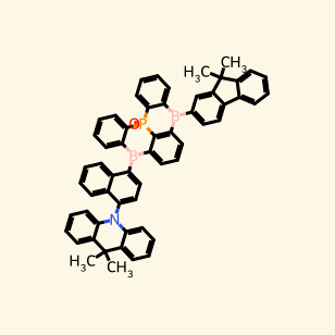 CC1(C)c2ccccc2-c2ccc(B3c4ccccc4P4(=O)c5ccccc5B(c5ccc(N6c7ccccc7C(C)(C)c7ccccc76)c6ccccc56)c5cccc3c54)cc21